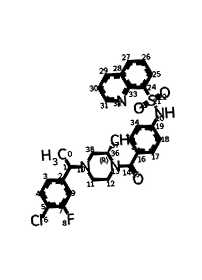 CC(c1ccc(Cl)c(F)c1)N1CCN(C(=O)c2ccc(NS(=O)(=O)c3cccc4cccnc34)cc2)[C@H](C)C1